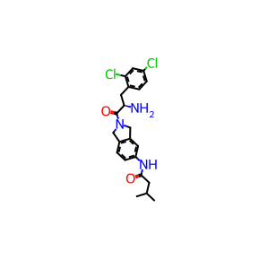 CC(C)CC(=O)Nc1ccc2c(c1)CN(C(=O)[C@H](N)Cc1ccc(Cl)cc1Cl)C2